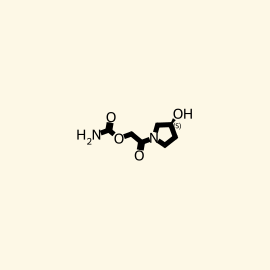 NC(=O)OCC(=O)N1CC[C@H](O)C1